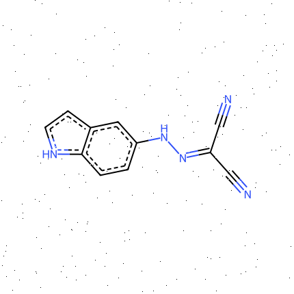 N#CC(C#N)=NNc1ccc2[nH]ccc2c1